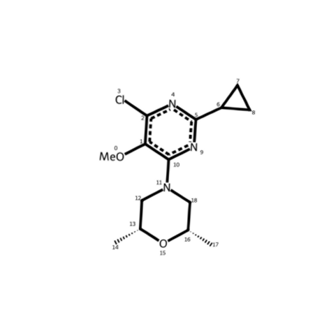 COc1c(Cl)nc(C2CC2)nc1N1C[C@@H](C)O[C@@H](C)C1